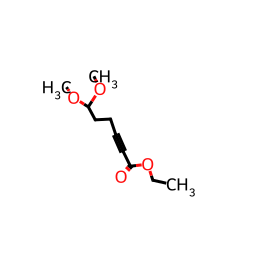 CCOC(=O)C#CCCC(OC)OC